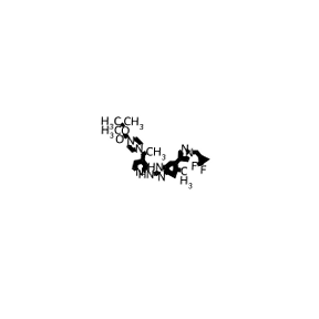 Cc1cc2nc(Nc3cc(C(C)N4CCN(C(=O)OC(C)(C)C)CC4)ccn3)[nH]c2cc1-c1cnn(CC2CC2(F)F)c1